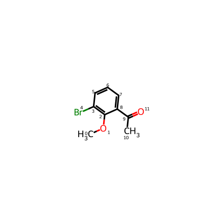 COc1c(Br)cccc1C(C)=O